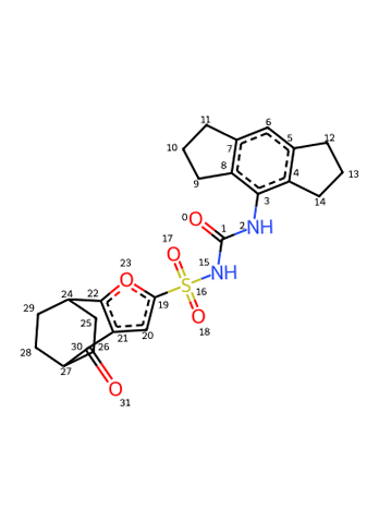 O=C(Nc1c2c(cc3c1CCC3)CCC2)NS(=O)(=O)c1cc2c(o1)C1CCC(CC1)C2=O